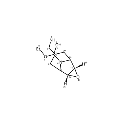 CCOC(O)N1C2CC(CN)CC1[C@@H]1O[C@H]21